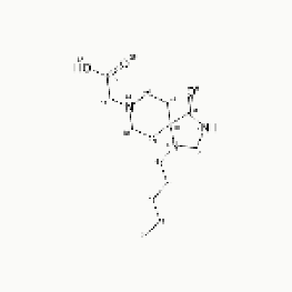 CCCCCN1CNC(=O)C12CCN(CC(=O)O)CC2